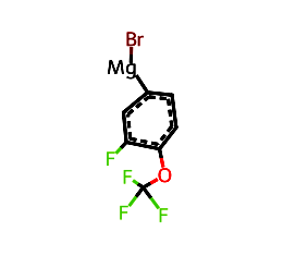 Fc1c[c]([Mg][Br])ccc1OC(F)(F)F